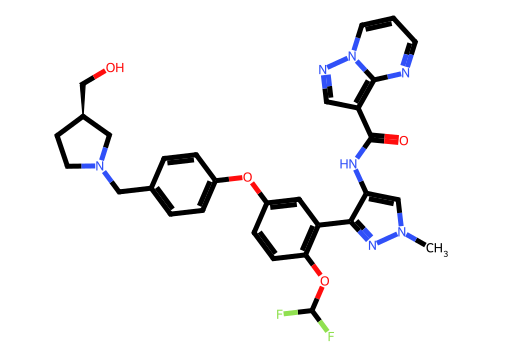 Cn1cc(NC(=O)c2cnn3cccnc23)c(-c2cc(Oc3ccc(CN4CC[C@@H](CO)C4)cc3)ccc2OC(F)F)n1